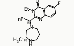 CCC[C@@H](c1nc2ccc(F)cc2c(=O)n1CC)N1CCCN[C@H](C)C1